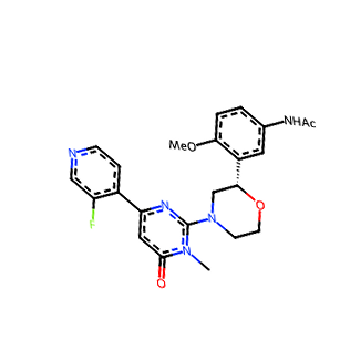 COc1ccc(NC(C)=O)cc1[C@H]1CN(c2nc(-c3ccncc3F)cc(=O)n2C)CCO1